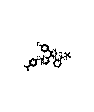 CC(C)c1ccc(Oc2nccc(-c3c(-c4ccc(F)cc4)ncn3C3CCCCN3C(=O)OC(C)(C)C)n2)cc1